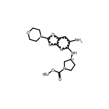 CC(C)(C)OC(=O)N1CC[C@H](Nc2nc3nc(N4CCOCC4)oc3cc2N)C1